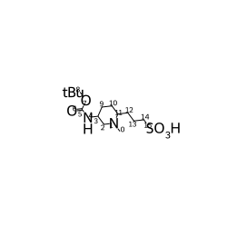 CN1CC(NC(=O)OC(C)(C)C)CCC1CCCS(=O)(=O)O